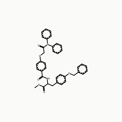 COC(=O)C(Cc1ccc(OCc2ccccc2)cc1)NC(=O)c1ccc(OCC(=O)N(c2ccccc2)c2ccccc2)cc1